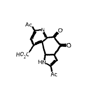 CC(=O)C1=CC2C(=O)C(=O)c3nc(C(C)=O)cc(C(=O)O)c3C2N1